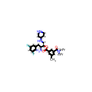 CCCN(CCC)C(=O)c1cc(C)cc(C(=O)O[C@H](CNC2CCNCC2)[C@@H](N)Cc2cc(F)cc(F)c2)c1